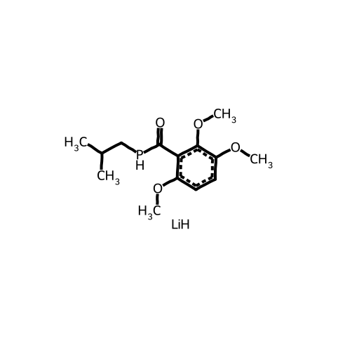 COc1ccc(OC)c(C(=O)PCC(C)C)c1OC.[LiH]